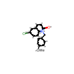 COc1ccc(Cn2c(=O)ccc3cc(Cl)ccc32)cc1